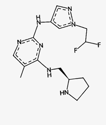 Cc1cnc(Nc2cnn(CC(F)F)c2)nc1NC[C@H]1CCCN1